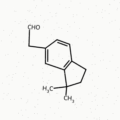 CC1(C)CCc2ccc(CC=O)cc21